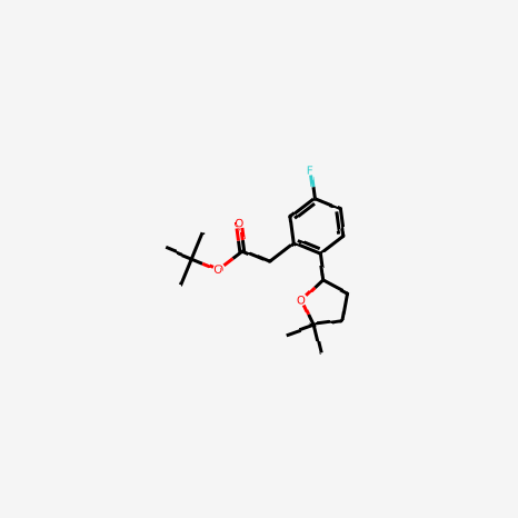 CC(C)(C)OC(=O)Cc1cc(F)ccc1C1CCC(C)(C)O1